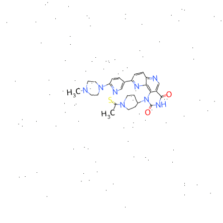 CC(=S)N1CCC(n2c(=O)[nH]c(=O)c3cnc4ccc(-c5ccc(N6CCN(C)CC6)nc5)nc4c32)CC1